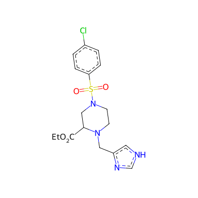 CCOC(=O)C1CN(S(=O)(=O)c2ccc(Cl)cc2)CCN1Cc1c[nH]cn1